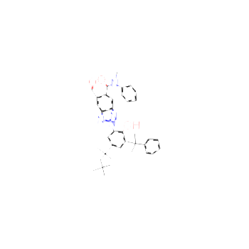 CN(C(=O)c1cc2nn(-c3cc(C(C)(C)CC(C)(C)C)cc(C(C)(C)c4ccccc4)c3O)nc2cc1C=O)c1ccccc1